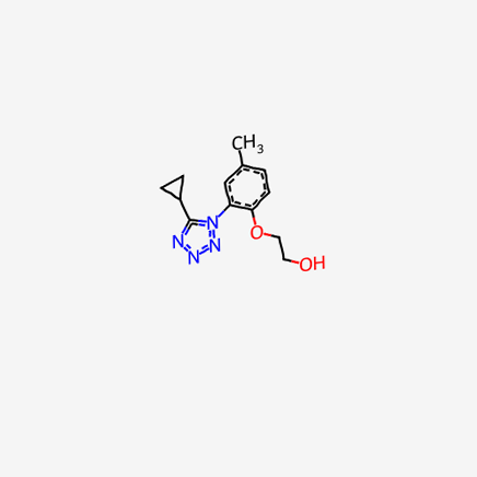 Cc1ccc(OCCO)c(-n2nnnc2C2CC2)c1